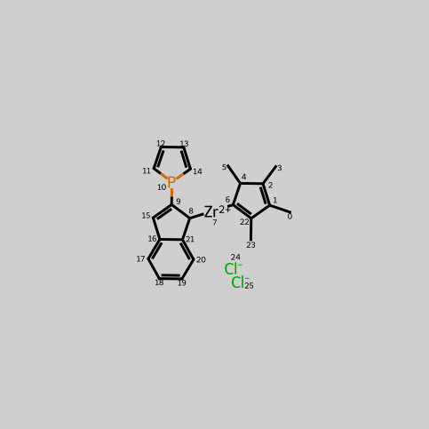 CC1=C(C)C(C)[C]([Zr+2][CH]2C(p3cccc3)=Cc3ccccc32)=C1C.[Cl-].[Cl-]